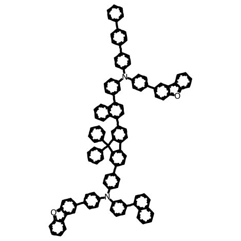 c1ccc(-c2ccc(-c3ccc(N(c4ccc(-c5ccc6oc7ccccc7c6c5)cc4)c4cccc(-c5ccc(-c6ccc7c(c6)C(c6ccccc6)(c6ccccc6)c6cc(-c8ccc(N(c9ccc(-c%10ccc%11oc%12ccccc%12c%11c%10)cc9)c9cccc(-c%10cccc%11ccccc%10%11)c9)cc8)ccc6-7)c6ccccc56)c4)cc3)cc2)cc1